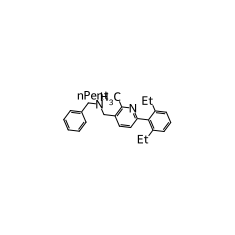 CCCCCN(Cc1ccccc1)Cc1ccc(-c2c(CC)cccc2CC)nc1C